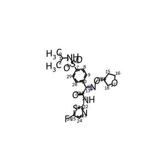 CC(C)NS(=O)(=O)c1ccc(/C(=N\O[C@@H]2CCOC2)C(=O)Nc2ncc(F)s2)cc1